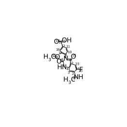 CNc1cc2[nH]c(=O)n(-c3ccc(C(=O)O)cc3OC)c(=O)c2cc1F